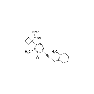 CCc1c(C#CCN2CCCCC2C)cc2c(c1C)C1(CCC1)C(NC)=N2